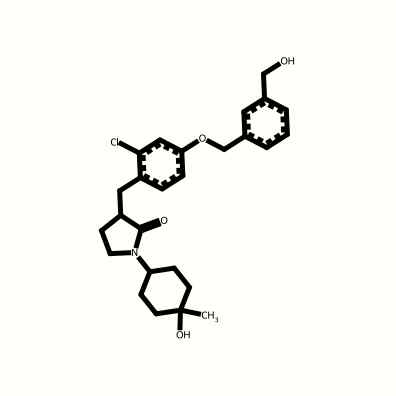 CC1(O)CCC(N2CCC(Cc3ccc(OCc4cccc(CO)c4)cc3Cl)C2=O)CC1